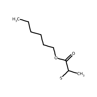 CCCCCCOC(=O)C(C)[S]